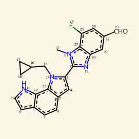 Cn1c(-c2cc3ccc4cc[nH]c4c3n2CC2CC2)nc2cc(C=O)cc(F)c21